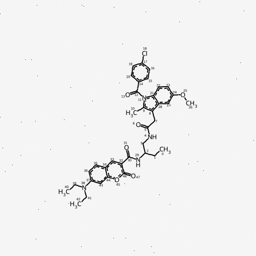 CCC(CNC(=O)Cc1c(C)n(C(=O)c2ccc(Cl)cc2)c2ccc(OC)cc12)NC(=O)c1cc2ccc(N(CC)CC)cc2oc1=O